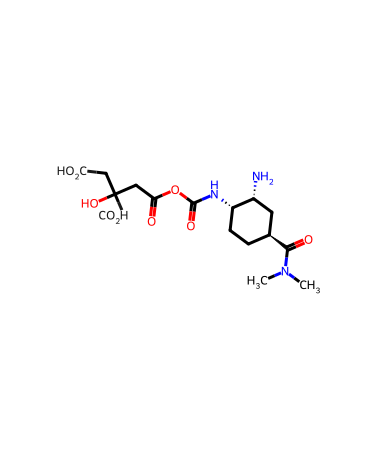 CN(C)C(=O)[C@H]1CC[C@H](NC(=O)OC(=O)CC(O)(CC(=O)O)C(=O)O)[C@H](N)C1